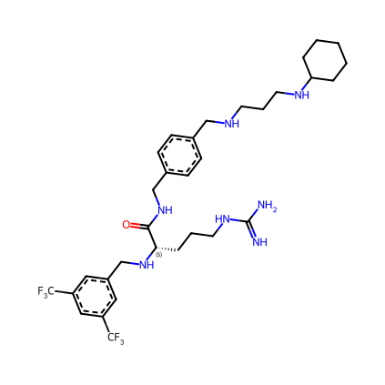 N=C(N)NCCC[C@H](NCc1cc(C(F)(F)F)cc(C(F)(F)F)c1)C(=O)NCc1ccc(CNCCCNC2CCCCC2)cc1